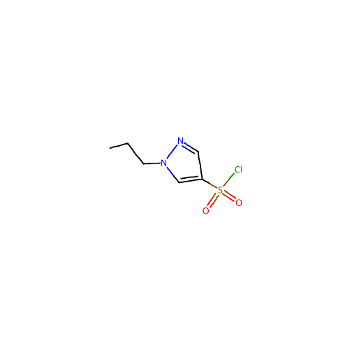 CCCn1cc(S(=O)(=O)Cl)cn1